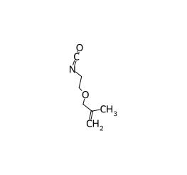 C=C(C)COCCN=C=O